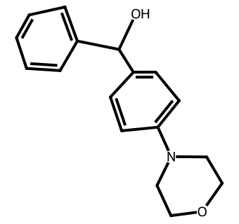 OC(c1ccccc1)c1ccc(N2CCOCC2)cc1